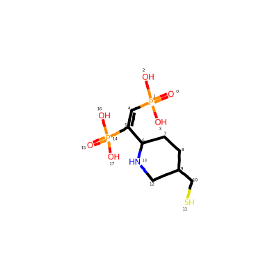 O=P(O)(O)C=C(C1CCC(CS)CN1)P(=O)(O)O